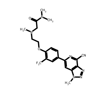 CN(CCOc1ccc(-c2cc3c(nnn3C)c(C#N)n2)cc1C(F)(F)F)CC(=O)N(C)C